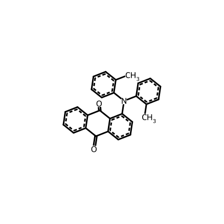 Cc1ccccc1N(c1ccccc1C)c1cccc2c1C(=O)c1ccccc1C2=O